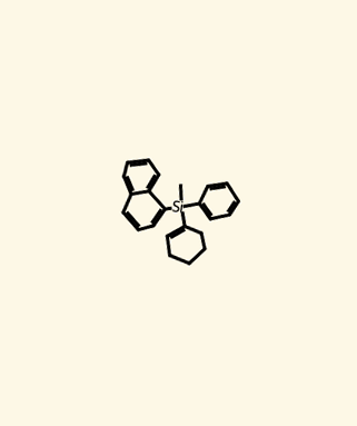 C[Si](C1=CCCCC1)(c1ccccc1)c1cccc2ccccc12